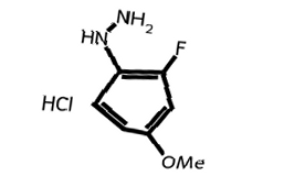 COc1ccc(NN)c(F)c1.Cl